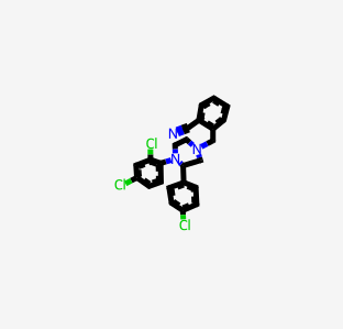 N#Cc1ccccc1CN1CCN(c2ccc(Cl)cc2Cl)C(c2ccc(Cl)cc2)C1